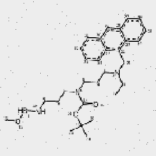 CCN(CCCN(CCCNBOC)C(=O)OC(C)(C)C)Cc1c2ccccc2cc2ccccc12